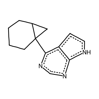 c1nc(C23CCCCC2C3)c2cc[nH]c2n1